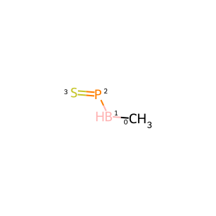 CBP=S